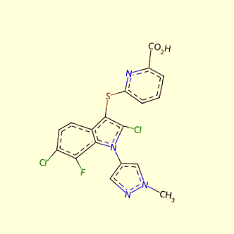 Cn1cc(-n2c(Cl)c(Sc3cccc(C(=O)O)n3)c3ccc(Cl)c(F)c32)cn1